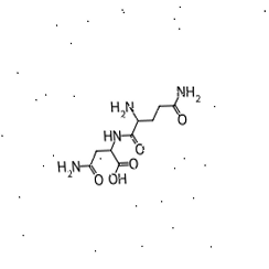 NC(=O)CCC(N)C(=O)NC(CC(N)=O)C(=O)O